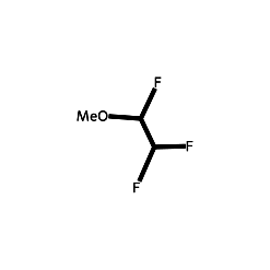 COC(F)[C](F)F